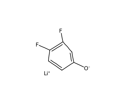 [Li+].[O-]c1ccc(F)c(F)c1